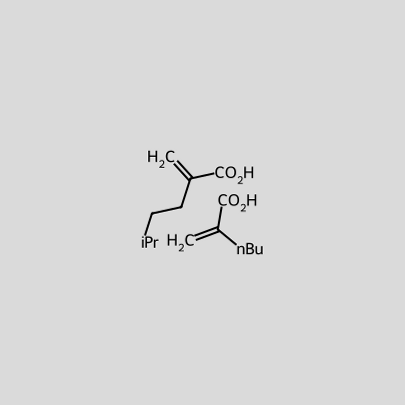 C=C(CCC(C)C)C(=O)O.C=C(CCCC)C(=O)O